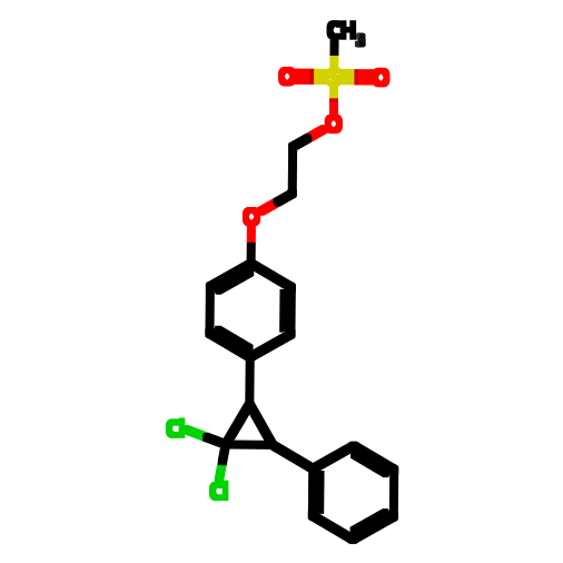 CS(=O)(=O)OCCOc1ccc(C2C(c3ccccc3)C2(Cl)Cl)cc1